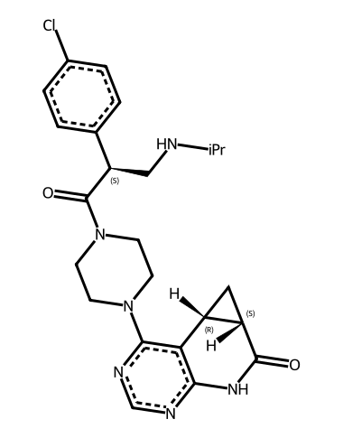 CC(C)NC[C@@H](C(=O)N1CCN(c2ncnc3c2[C@@H]2C[C@@H]2C(=O)N3)CC1)c1ccc(Cl)cc1